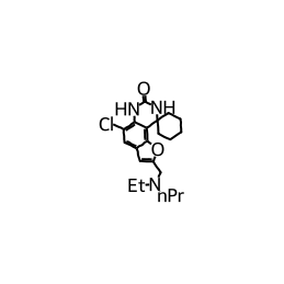 CCCN(CC)Cc1cc2cc(Cl)c3c(c2o1)C1(CCCCC1)NC(=O)N3